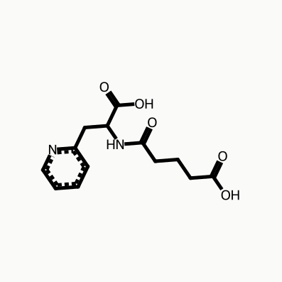 O=C(O)CCCC(=O)NC(Cc1ccccn1)C(=O)O